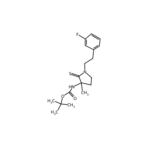 CC(C)(C)OC(=O)NC1(C)CCN(CCc2cccc(F)c2)C1=S